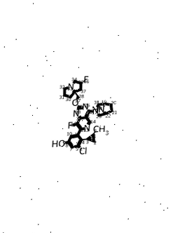 C[C@@H]1C[C@H]1c1c(Cl)cc(O)cc1-c1ncc2c(N3CC4CCC(C3)N4)nc(OC[C@@]34CCCN3C[C@H](F)C4)nc2c1F